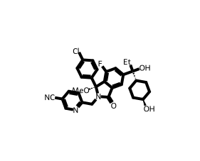 CCC(O)(c1cc(F)c2c(c1)C(=O)N(Cc1ccc(C#N)cn1)[C@@]2(OC)c1ccc(Cl)cc1)[C@H]1CC[C@H](O)CC1